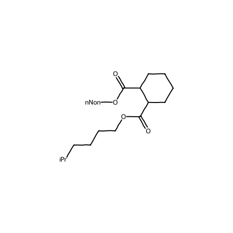 CCCCCCCCCOC(=O)C1CCCCC1C(=O)OCCCCC(C)C